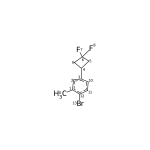 Cc1cc(C2CC(F)(F)C2)ccc1Br